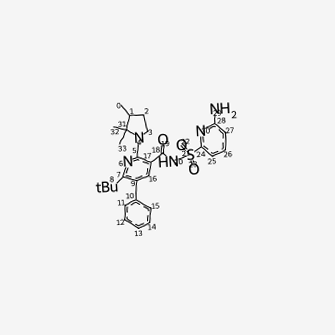 CC1CCN(c2nc(C(C)(C)C)c(-c3ccccc3)cc2C(=O)NS(=O)(=O)c2cccc(N)n2)C1(C)C